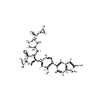 Cc1cc2cc(-c3ccc(C4=NC5(CC5)C(=O)N4CC4CCN(C(=O)C5CC5)C4)cc3C)ccc2s1